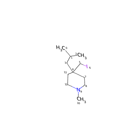 CC(C)CC1(CI)CCN(C)CC1